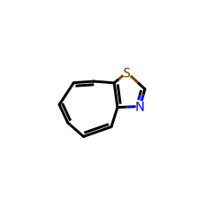 C1=C\C=C/c2scnc2\C=C/1